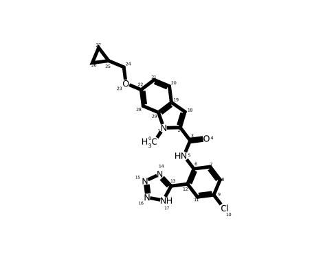 Cn1c(C(=O)Nc2ccc(Cl)cc2-c2nnn[nH]2)cc2ccc(OCC3CC3)cc21